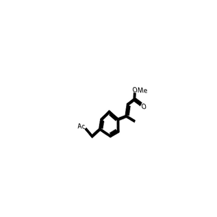 COC(=O)C=C(C)c1ccc(CC(C)=O)cc1